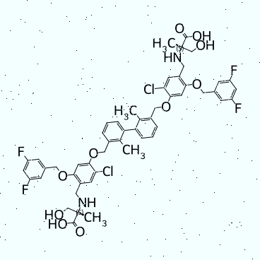 Cc1c(COc2cc(OCc3cc(F)cc(F)c3)c(CN[C@@](C)(CO)C(=O)O)cc2Cl)cccc1-c1cccc(COc2cc(OCc3cc(F)cc(F)c3)c(CN[C@@](C)(CO)C(=O)O)cc2Cl)c1C